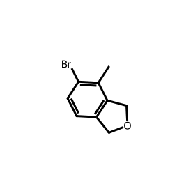 Cc1c(Br)ccc2c1COC2